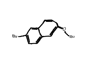 CCC(C)Oc1[c]c2ccc(Br)cc2cc1